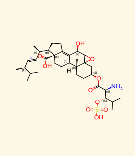 CC(C)[C@@H](C)/C=C/[C@@H](C)[C@H]1CCC2=C3[C@@H](O)C4OC45C[C@@H](OC(=O)[C@@H](N)[C@@H](OS(=O)(=O)O)C(C)C)CC[C@]5(C)[C@H]3CC[C@@]21C(=O)O